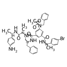 C[C@H](NC[C@H](Cc1ccccc1)NC(=O)c1cc(C(=O)N[C@H](C)c2ccc(Br)cc2)cc(N(Cc2ccccc2)S(C)(=O)=O)c1)C(=O)N[C@H](C)c1ccc(N)cc1